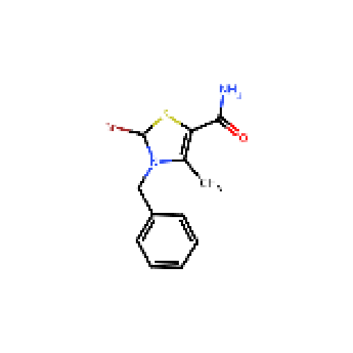 CC1=C(C(N)=O)SC(Br)N1Cc1ccccc1